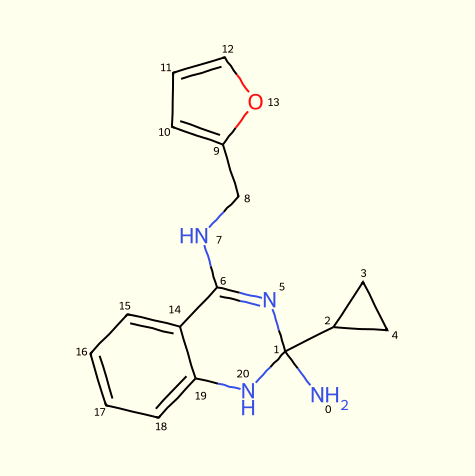 NC1(C2CC2)N=C(NCc2ccco2)c2ccccc2N1